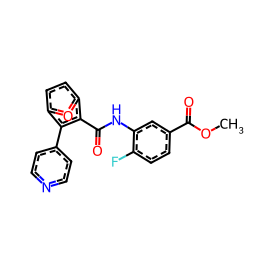 COC(=O)c1ccc(F)c(NC(=O)c2c(-c3ccncc3)c3ccc2o3)c1